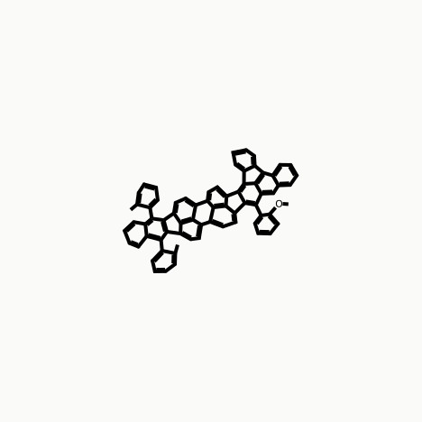 COc1ccccc1-c1c2cc3ccccc3c3c4ccccc4c(c4c5ccc6c7ccc8c9c(ccc(c%10ccc(c14)c5c%106)c97)-c1c-8c(-c4ccccc4C)c4ccccc4c1-c1ccccc1C)c23